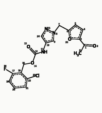 CC(=O)c1ccc(Cn2cc(NC(=O)OCc3c(F)cccc3Cl)cn2)o1